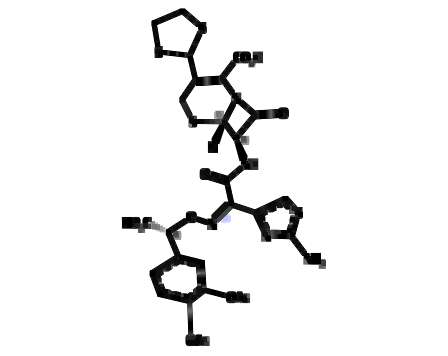 CC(=O)Oc1ccc([C@@H](O/N=C(\C(=O)N[C@@H]2C(=O)N3C(C(=O)O)=C(C4SCCS4)CS[C@@H]23)c2csc(N)n2)C(=O)O)cc1OC(C)=O